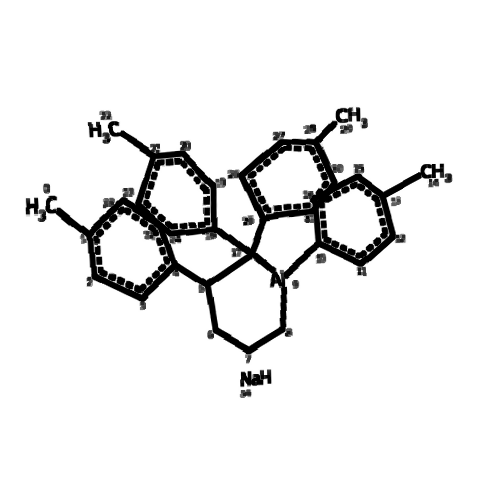 Cc1ccc(C2CC[CH2][Al]([c]3ccc(C)cc3)[C]2(c2ccc(C)cc2)c2ccc(C)cc2)cc1.[NaH]